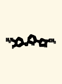 Cn1cc(-c2cccc(Oc3ccc(N)c(F)c3)n2)cn1